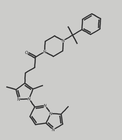 Cc1nn(-c2ccc3ncc(C)n3n2)c(C)c1CCC(=O)N1CCN(C(C)(C)c2ccccc2)CC1